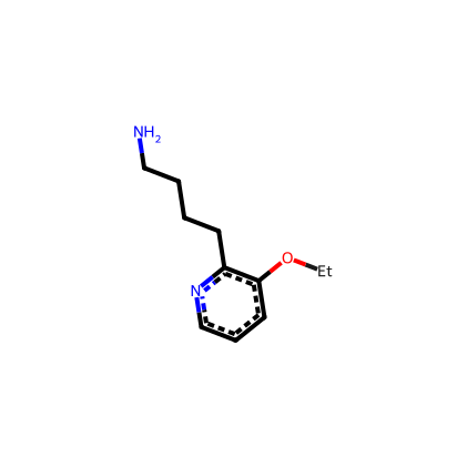 CCOc1cccnc1CCCCN